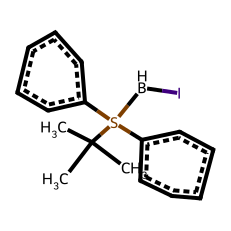 CC(C)(C)S(BI)(c1ccccc1)c1ccccc1